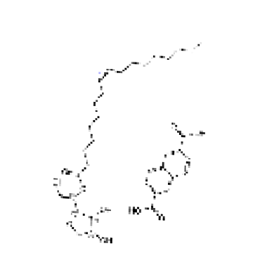 CCCCCCCC/C=C\CCCCCCCC(=O)O[C@H](CO)[C@H]1OC[C@H](O)[C@H]1O.O=C(O)c1ccc2cc(C(=O)O)ccc2c1